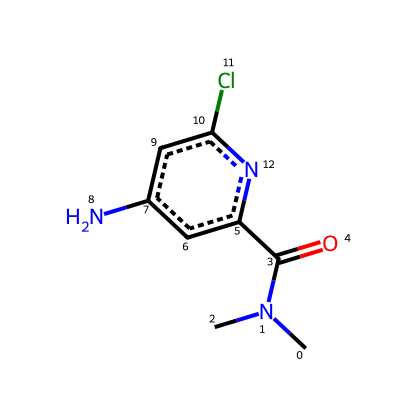 CN(C)C(=O)c1cc(N)cc(Cl)n1